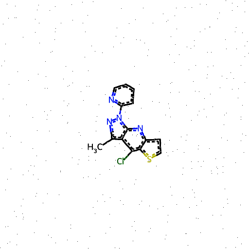 Cc1nn(-c2ccccn2)c2nc3ccsc3c(Cl)c12